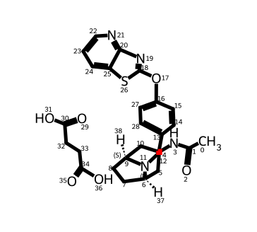 CC(=O)NC1C[C@H]2CC[C@@H](C1)N2Cc1ccc(Oc2nc3ncccc3s2)cc1.O=C(O)CCC(=O)O